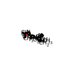 C=C(OCC)C1(F)C=C(C(=O)Nc2ccc(Oc3ccnc4cc(OC)c(OC)nc34)c(F)c2)C(=O)N(c2ccccn2)C1C